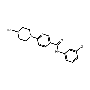 CN1CCN(c2ccc(C(=O)Nc3cccc(Cl)c3)cn2)CC1